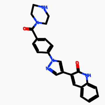 O=C(c1ccc(-n2cc(-c3cc4ccccc4[nH]c3=O)cn2)cc1)N1CCNCC1